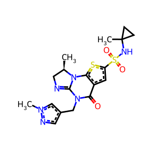 C[C@@H]1CN=C2N(Cc3cnn(C)c3)C(=O)c3cc(S(=O)(=O)NC4(C)CC4)sc3N21